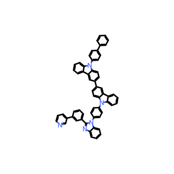 c1ccc(-c2ccc(-n3c4ccccc4c4cc(-c5ccc6c(c5)c5ccccc5n6-c5ccc(-n6c(-c7cccc(-c8cccnc8)c7)nc7ccccc76)cc5)ccc43)cc2)cc1